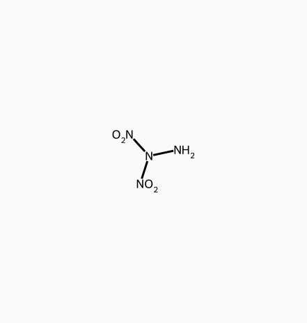 NN([N+](=O)[O-])[N+](=O)[O-]